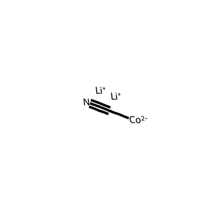 N#[C][Co-2].[Li+].[Li+]